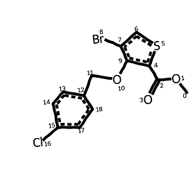 COC(=O)c1scc(Br)c1OCc1ccc(Cl)cc1